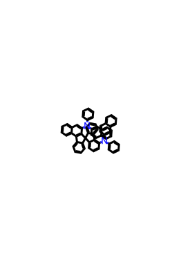 c1ccc(N(c2ccc3ccccc3c2)c2cccc3c2-c2ccccc2C32c3ccccc3-c3c2c(N(c2ccccc2)c2ccc4ccccc4c2)cc2ccccc32)cc1